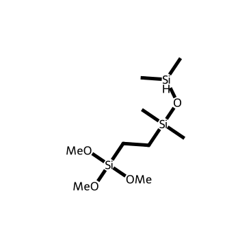 CO[Si](CC[Si](C)(C)O[SiH](C)C)(OC)OC